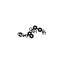 CCOc1ccc(-c2cccc(C(=O)Nc3ccc(OCCN4CCOCC4)c4ccccc34)c2)cc1